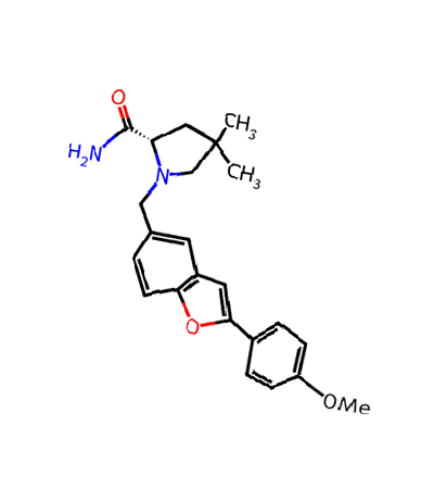 COc1ccc(-c2cc3cc(CN4CC(C)(C)C[C@H]4C(N)=O)ccc3o2)cc1